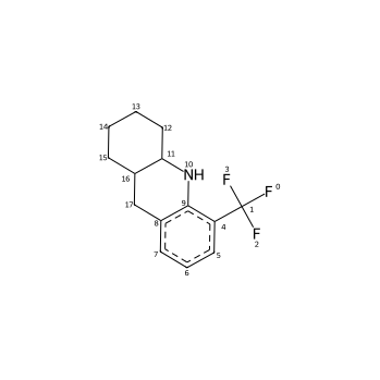 FC(F)(F)c1cccc2c1NC1CCCCC1C2